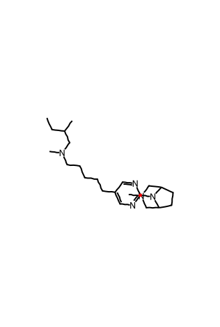 CCC(C)CN(C)CCCCCc1cnc(N2C3CCC2CN(C)C3)nc1